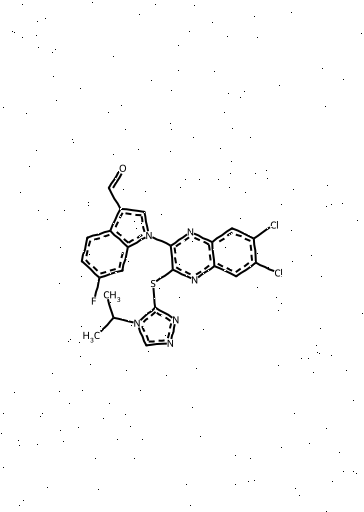 CC(C)n1cnnc1Sc1nc2cc(Cl)c(Cl)cc2nc1-n1cc(C=O)c2ccc(F)cc21